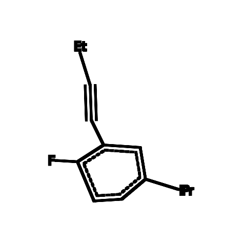 CCC#Cc1cc(C(C)C)ccc1F